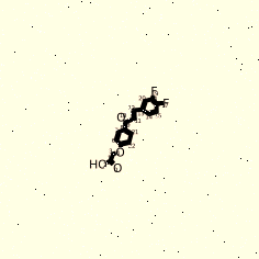 O=C(O)COc1ccc(C(=O)C=Cc2ccc(F)c(F)c2)cc1